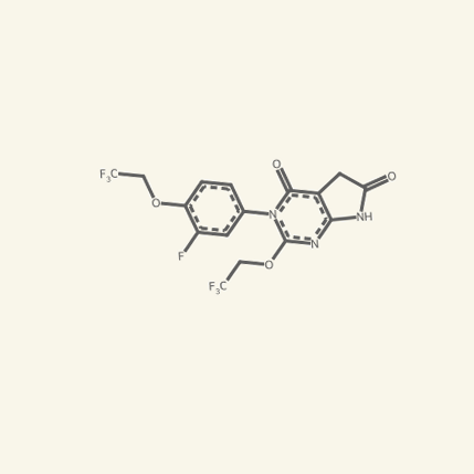 O=C1Cc2c(nc(OCC(F)(F)F)n(-c3ccc(OCC(F)(F)F)c(F)c3)c2=O)N1